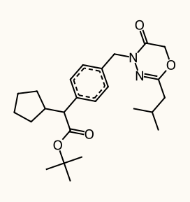 CC(C)CC1=NN(Cc2ccc(C(C(=O)OC(C)(C)C)C3CCCC3)cc2)C(=O)CO1